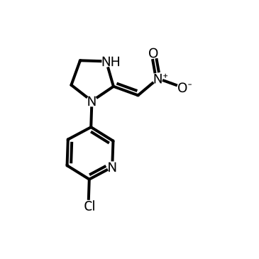 O=[N+]([O-])C=C1NCCN1c1ccc(Cl)nc1